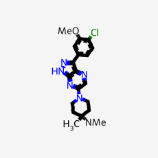 CNC1(C)CCN(c2cnc3c(-c4ccc(Cl)c(OC)c4)n[nH]c3n2)CC1